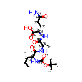 CC[C@H](C)[C@H](NC(=O)OC(C)(C)C)C(=O)N[C@@H](C)C(=O)N[C@@H](CCC(N)=O)C(=O)O